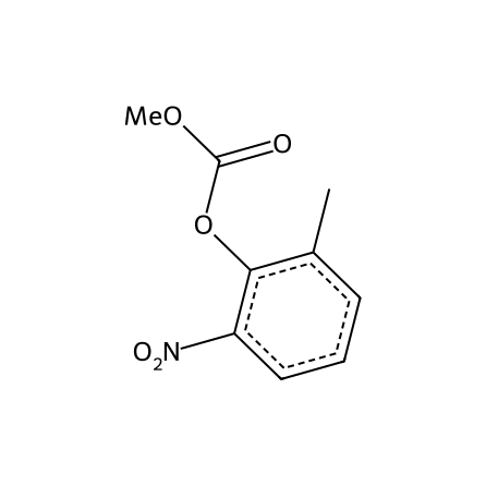 COC(=O)Oc1c(C)cccc1[N+](=O)[O-]